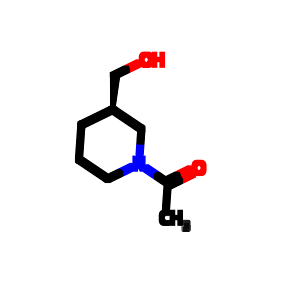 CC(=O)N1CCC[C@@H](CO)C1